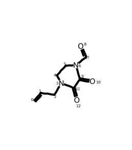 C=CCN1CCN([C]=O)C(=O)C1=O